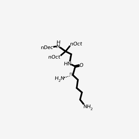 CCCCCCCCCCNC(CCCCCCCC)(CCCCCCCC)CNC(=O)[C@@H](N)CCCCN